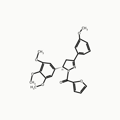 COc1cccc(C2=NN(C(=O)c3ccco3)[C@H](c3cc(OC)c(OC)c(OC)c3)C2)c1